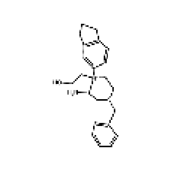 NC1CN(Cc2ccccc2)CC[N+]1(CCO)c1ccc2c(c1)CCC2